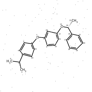 CC(C)c1ccc(Oc2cccc(O[C@H](C)c3ccccc3)c2)cc1